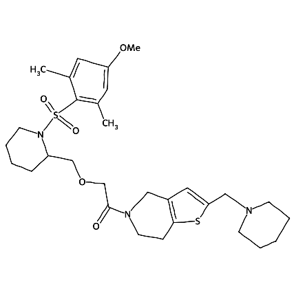 COc1cc(C)c(S(=O)(=O)N2CCCCC2COCC(=O)N2CCc3sc(CN4CCCCC4)cc3C2)c(C)c1